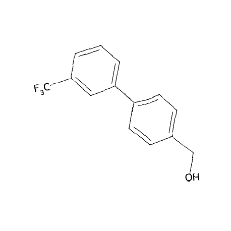 OCc1ccc(-c2cccc(C(F)(F)F)c2)cc1